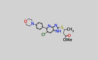 COC(=O)CC(C)Sc1nc2nc(-c3ccc(N4CCOCC4)cc3)c(Cl)cc2[nH]1